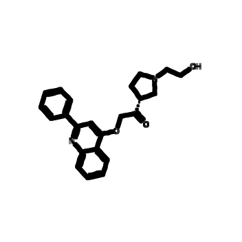 O=C(COc1cc(-c2ccccc2)nc2ccccc12)[C@@H]1CCN(CCO)C1